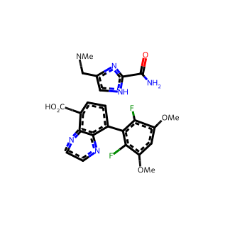 CNCc1c[nH]c(C(N)=O)n1.COc1cc(OC)c(F)c(-c2ccc(C(=O)O)c3nccnc23)c1F